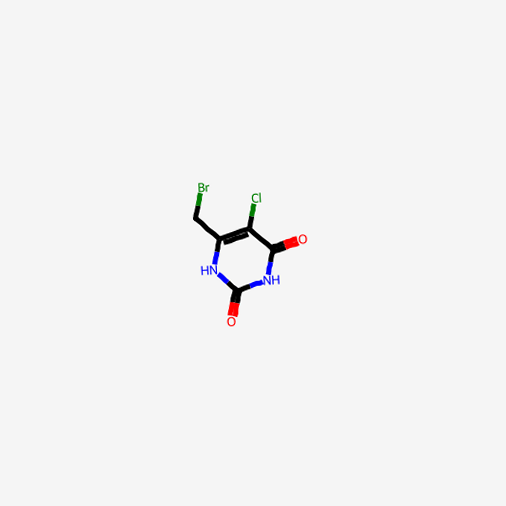 O=c1[nH]c(CBr)c(Cl)c(=O)[nH]1